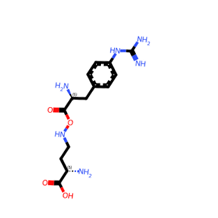 N=C(N)Nc1ccc(C[C@H](N)C(=O)ONCC[C@H](N)C(=O)O)cc1